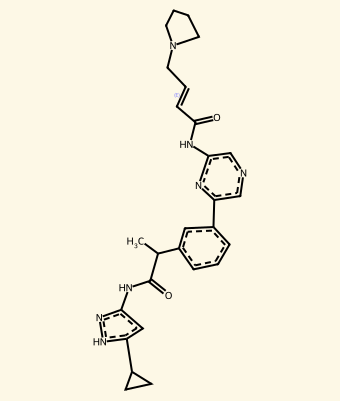 CC(C(=O)Nc1cc(C2CC2)[nH]n1)c1cccc(-c2cncc(NC(=O)/C=C/CN3CCCC3)n2)c1